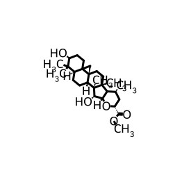 COC(=O)[C@H]1C[C@@H](C)C2[C@H](O1)[C@H](O)[C@@]1(C)[C@@H]3CC[C@H]4C(C)(C)[C@@H](O)CCC45C[C@@]35CC[C@]21C